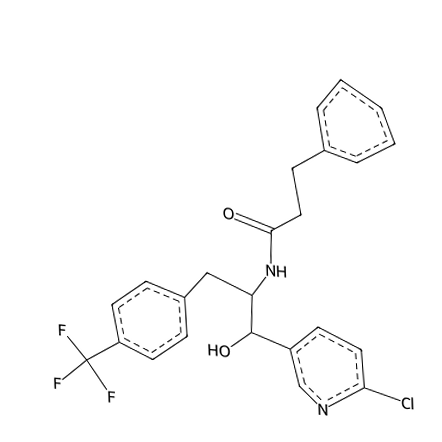 O=C(CCc1ccccc1)NC(Cc1ccc(C(F)(F)F)cc1)C(O)c1ccc(Cl)nc1